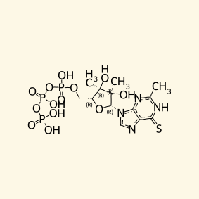 Cc1nc2c(ncn2[C@@H]2O[C@H](COP(=O)(O)OP(=O)(O)OP(=O)(O)O)[C@@](C)(O)[C@@]2(C)O)c(=S)[nH]1